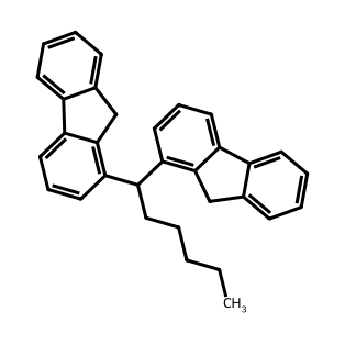 CCCCCC(c1cccc2c1Cc1ccccc1-2)c1cccc2c1Cc1ccccc1-2